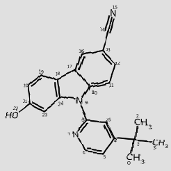 CC(C)(C)c1ccnc(-n2c3ccc(C#N)cc3c3ccc(O)cc32)c1